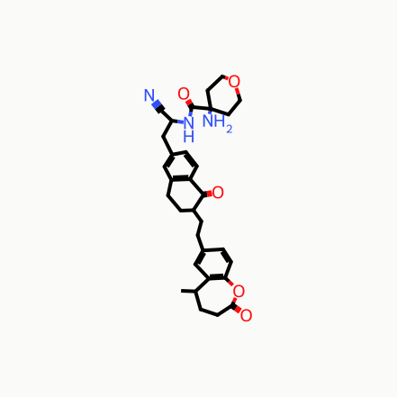 CC1CCC(=O)Oc2ccc(CCC3CCc4cc(CC(C#N)NC(=O)C5(N)CCOCC5)ccc4C3=O)cc21